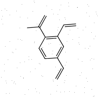 C=Cc1ccc(C(=C)C)c(C=C)c1